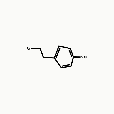 CCCCc1ccc(CCBr)cc1